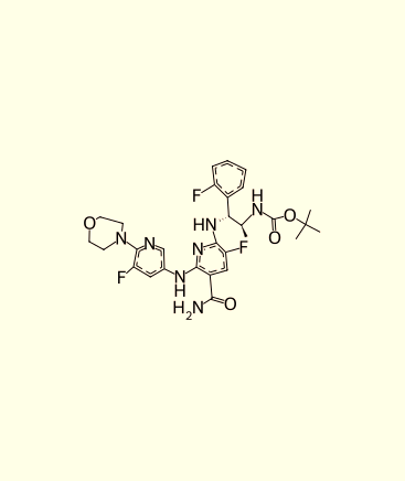 C[C@H](NC(=O)OC(C)(C)C)[C@H](Nc1nc(Nc2cnc(N3CCOCC3)c(F)c2)c(C(N)=O)cc1F)c1ccccc1F